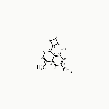 CC1=CCC(C2CCC2)c2c(F)cc(C)cc21